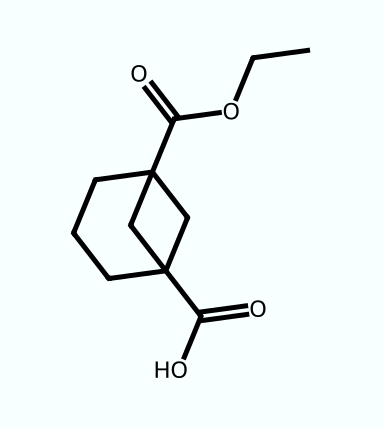 CCOC(=O)C12CCCC(C(=O)O)(C1)C2